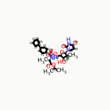 CC(C)OC(=O)[C@H](C)NP(=O)(OCC1O[C@@H](n2ccc(=O)[nH]c2=O)[C@](C)(F)[C@@H]1O)Oc1ccc(-c2ccccc2)cc1